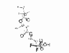 CCC(C)(C)C(=O)OC(C)CC(=O)OCCC(F)(F)S(=O)(=O)O